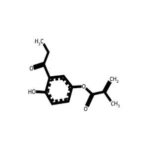 C=C(C)C(=O)Oc1ccc(O)c(C(=O)CC)c1